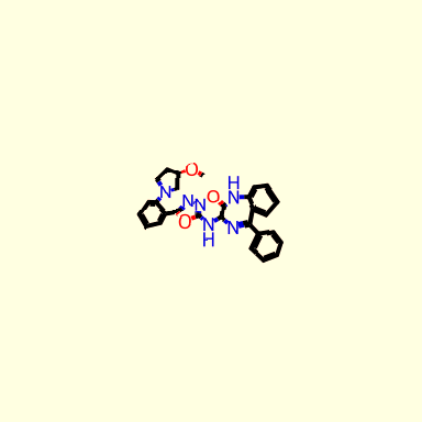 CO[C@@H]1CCN(c2ccccc2-c2nnc(NC3N=C(c4ccccc4)c4ccccc4NC3=O)o2)C1